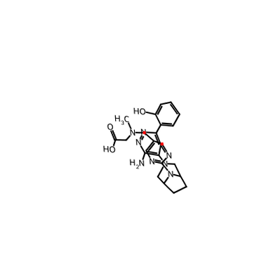 CN(CC(=O)O)Cc1cnc(N2C3CCC2CN(c2cc(-c4ccccc4O)nnc2N)C3)nc1